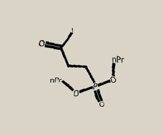 CCCOP(=O)(CCC(=O)I)OCCC